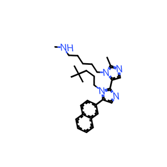 CNCCCCCn1c(-c2ncc(-c3ccc4ccccc4c3)n2CCCC(C)(C)C)cnc1C